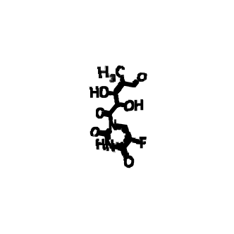 CC(C=O)=C(O)C(O)C(=O)n1cc(F)c(=O)[nH]c1=O